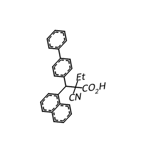 CCC(C#N)(C(=O)O)C(c1ccc(-c2ccccc2)cc1)c1cccc2ccccc12